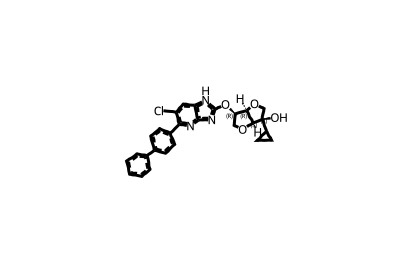 O[C@]1(C2CC2)CO[C@@H]2[C@H](Oc3nc4nc(-c5ccc(-c6ccccc6)cc5)c(Cl)cc4[nH]3)CO[C@@H]21